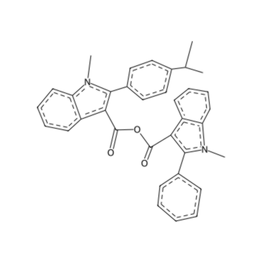 CC(C)c1ccc(-c2c(C(=O)OC(=O)c3c(-c4ccccc4)n(C)c4ccccc34)c3ccccc3n2C)cc1